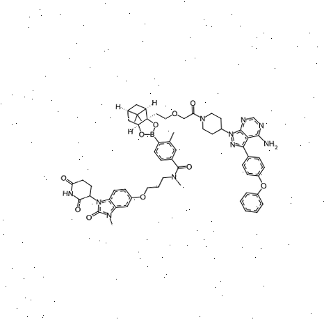 Cc1cc(C(=O)N(C)CCCOc2ccc3c(c2)n(C)c(=O)n3C2CCC(=O)NC2=O)ccc1B1O[C@H]2C[C@H]3C[C@H](C3(C)C)[C@@]2(CCOCC(=O)N2CCC(n3nc(-c4ccc(Oc5ccccc5)cc4)c4c(N)ncnc43)CC2)O1